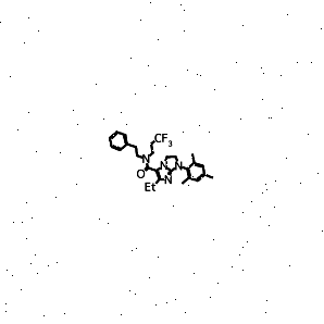 CCc1nc2n(c1C(=O)N(CCc1ccccc1)CCC(F)(F)F)CCN2c1c(C)cc(C)cc1C